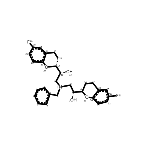 O[C@H](CN(Cc1ccccc1)C[C@@H](O)[C@H]1CCc2cc(F)ccc2O1)C1CCc2cc(F)ccc2O1